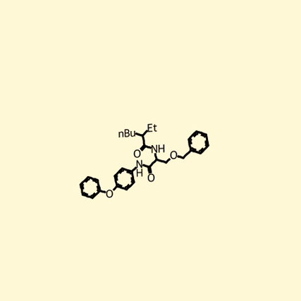 CCCCC(CC)C(=O)NC(COCc1ccccc1)C(=O)Nc1ccc(Oc2ccccc2)cc1